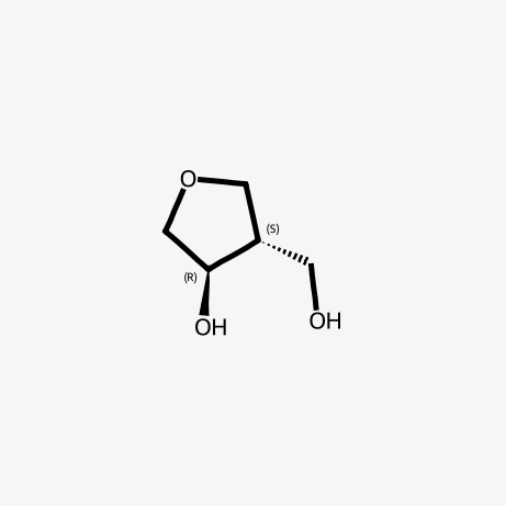 OC[C@H]1COC[C@@H]1O